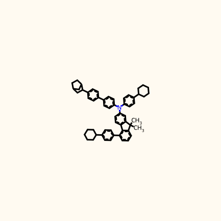 CC1(C)c2cc(N(c3ccc(-c4ccc(C5CC6CCC5C6)cc4)cc3)c3ccc(C4CCCCC4)cc3)ccc2-c2c(-c3ccc(C4CCCCC4)cc3)cccc21